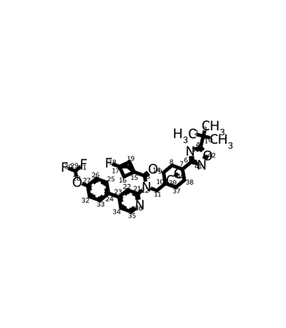 CC(C)(C)c1nc(C23CCC(CN(C(=O)C45CC(F)(C4)C5)c4cc(-c5ccc(OC(F)F)cc5)ccn4)(CC2)CC3)no1